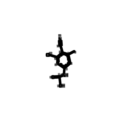 Cc1cc(NC(=O)O)nc(Cl)c1C#N